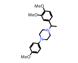 COc1ccc(N2CCN(C(C)c3ccc(OC)c(OC)c3)CC2)cc1